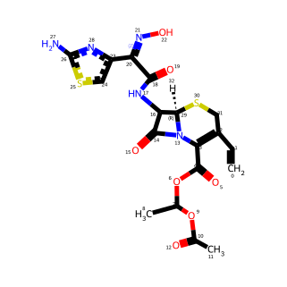 C=CC1=C(C(=O)OC(C)OC(C)=O)N2C(=O)C(NC(=O)/C(=N\O)c3csc(N)n3)[C@H]2SC1